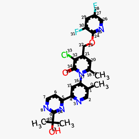 Cc1cnc(-c2ccnc(C(C)(C)O)n2)cc1-n1c(C)cc(COc2ncc(F)cc2F)c(Cl)c1=O